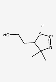 CC1(C)N=[C+]SC1CCO.[I-]